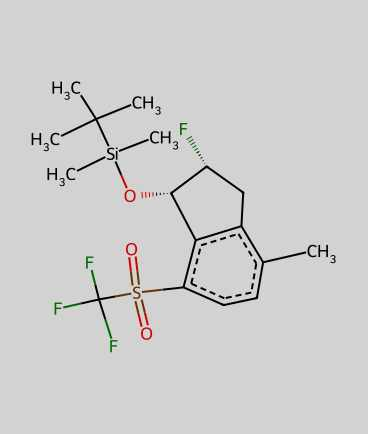 Cc1ccc(S(=O)(=O)C(F)(F)F)c2c1C[C@@H](F)[C@H]2O[Si](C)(C)C(C)(C)C